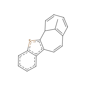 CC1=C2C=CC=CC1c1sc3ccccc3c1C=C2